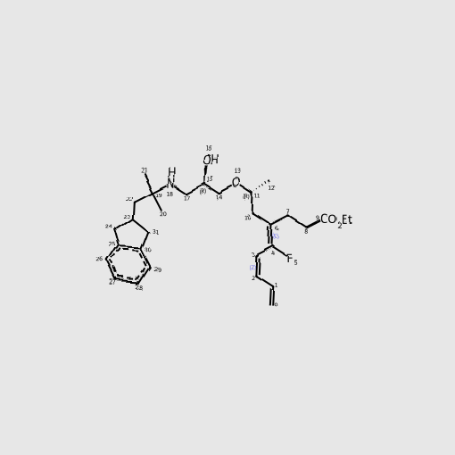 C=C/C=C\C(F)=C(\CCC(=O)OCC)C[C@@H](C)OC[C@H](O)CNC(C)(C)CC1Cc2ccccc2C1